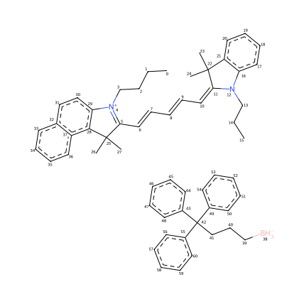 CCCC[N+]1=C(C=CC=CC=C2N(CCC)c3ccccc3C2(C)C)C(C)(C)c2c1ccc1ccccc21.[BH3-]CCCC(c1ccccc1)(c1ccccc1)c1ccccc1